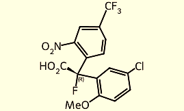 COc1ccc(Cl)cc1[C@@](F)(C(=O)O)c1ccc(C(F)(F)F)cc1[N+](=O)[O-]